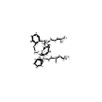 CCNCCOB1Nc2ccccc2COCc2ccc1cc2.NCCNCCOB1C2=CC=C1C=C2